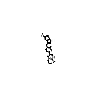 COc1cnc2[nH]cc(Cc3ccc(-c4cnc5n(c4=O)CCCN5C)nc3C)c2c1